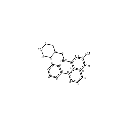 Clc1nc(NCC2CCOCC2)c2c(-c3ccccc3)cccc2n1